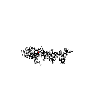 CCCCC[N+](C)(CC(=O)N[C@H](C(=O)N(C)[C@H](C[C@@H](OC(C)=O)c1nc(C(=O)NC(Cc2ccccc2)C[C@H](C)C(=O)O)cs1)C(C)C)[C@H](C)CC)CC1=CCC(O[C@@H]2O[C@H](C(=O)O)[C@@H](O)[C@H](O)[C@H]2O)C(NC(=O)CCN)=C1